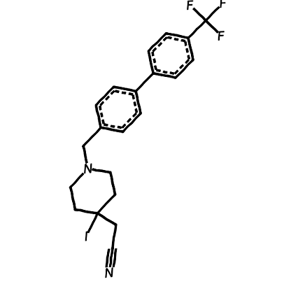 N#CCC1(I)CCN(Cc2ccc(-c3ccc(C(F)(F)F)cc3)cc2)CC1